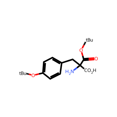 CC(C)(C)OC(=O)C(N)(Cc1ccc(OC(C)(C)C)cc1)C(=O)O